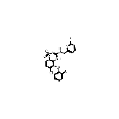 O=S1(=O)N=C(NCc2cccc(F)n2)Nc2c1ccc(Cl)c2Oc1ccccc1Cl